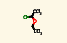 ClC(OCC(Cl)(Cl)Cl)C(Cl)(Cl)Cl